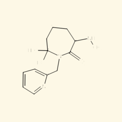 CNC1CCCC(C)(C)N(Cc2ccccn2)C1=O